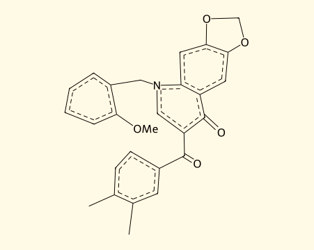 COc1ccccc1Cn1cc(C(=O)c2ccc(C)c(C)c2)c(=O)c2cc3c(cc21)OCO3